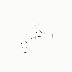 COc1ccc(CNC(=O)c2ccc3nccnc3c2)c(OC)c1